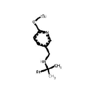 CCC(C)(C)NCc1ccc(OC(C)(C)C)nc1